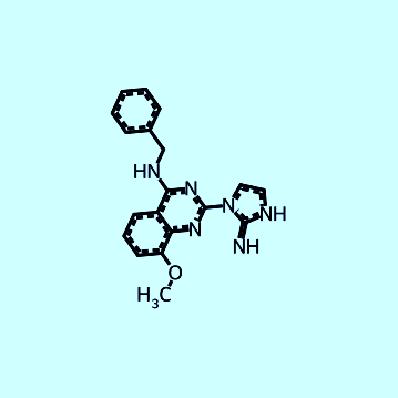 COc1cccc2c(NCc3ccccc3)nc(-n3cc[nH]c3=N)nc12